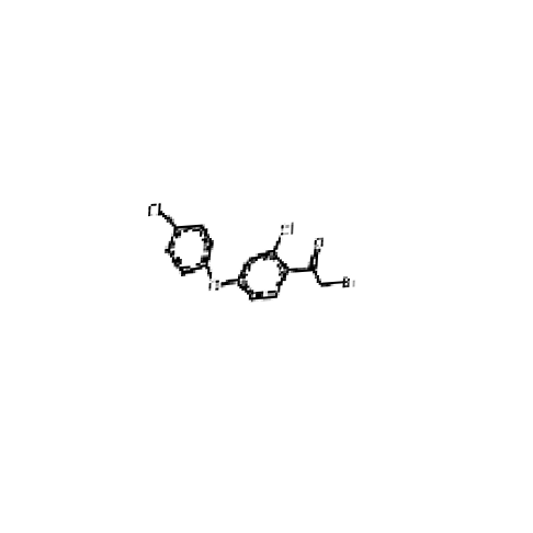 O=C(CBr)c1ccc(Oc2ccc(Cl)cc2)cc1Cl